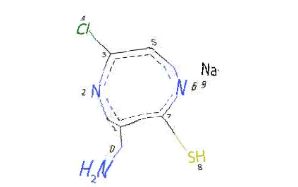 Nc1nc(Cl)cnc1S.[Na]